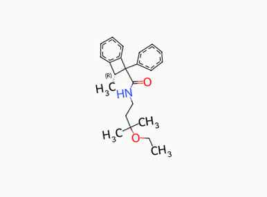 CCOC(C)(C)CCNC(=O)C1(c2ccccc2)c2ccccc2[C@H]1C